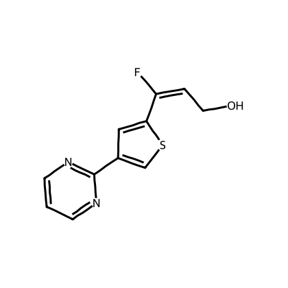 OC/C=C(/F)c1cc(-c2ncccn2)cs1